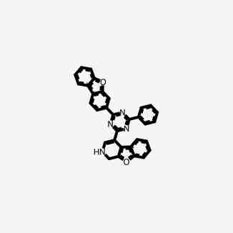 C1=C(c2nc(-c3ccccc3)nc(-c3ccc4c(c3)oc3ccccc34)n2)c2c(oc3ccccc23)CN1